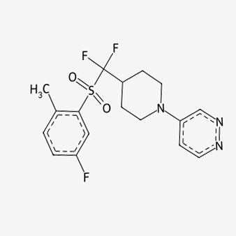 Cc1ccc(F)cc1S(=O)(=O)C(F)(F)C1CCN(c2ccnnc2)CC1